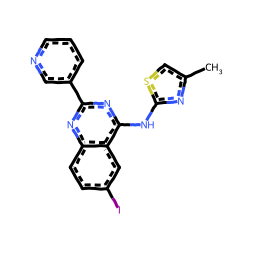 Cc1csc(Nc2nc(-c3cccnc3)nc3ccc(I)cc23)n1